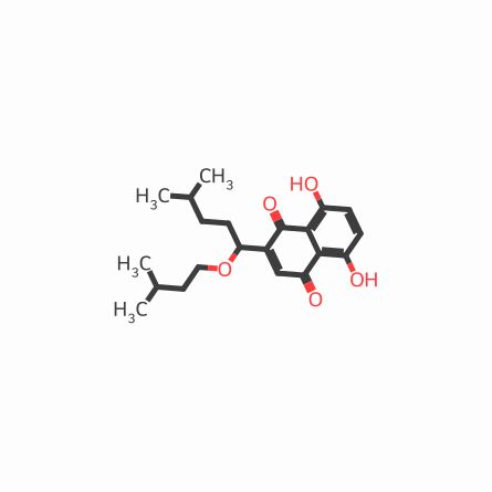 CC(C)CCOC(CCC(C)C)C1=CC(=O)c2c(O)ccc(O)c2C1=O